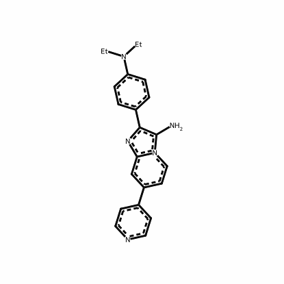 CCN(CC)c1ccc(-c2nc3cc(-c4ccncc4)ccn3c2N)cc1